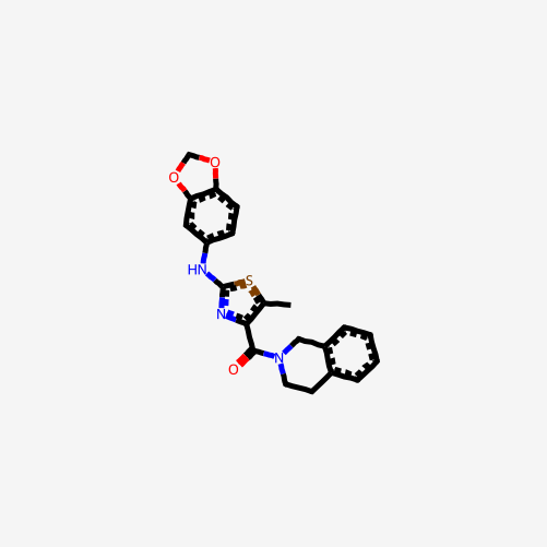 Cc1sc(Nc2ccc3c(c2)OCO3)nc1C(=O)N1CCc2ccccc2C1